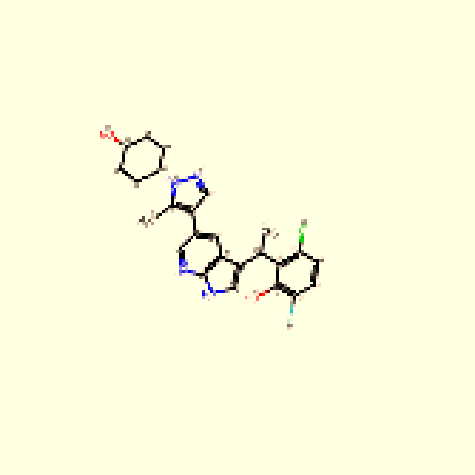 Cc1c(-c2cnc3[nH]cc(C(C)c4c(Cl)ccc(F)c4O)c3c2)cnn1[C@H]1CC[C@H](O)CC1